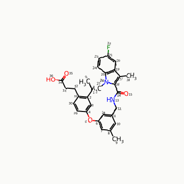 CCc1cc(Oc2cc(C)cc(CNC(=O)c3c(C)c4cc(F)ccc4n3C)c2)ccc1CCC(=O)O